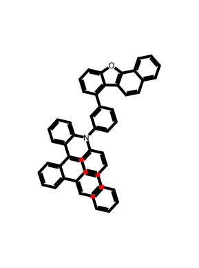 c1ccc(-c2ccc(N(c3cccc(-c4cccc5oc6c7ccccc7ccc6c45)c3)c3ccccc3-c3cc4ccccc4c4ccccc34)cc2)cc1